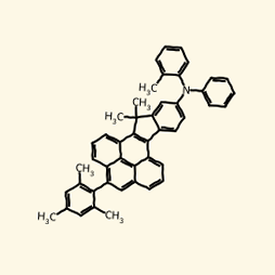 Cc1cc(C)c(-c2cc3cccc4c5c(c6cccc2c6c34)C(C)(C)c2cc(N(c3ccccc3)c3ccccc3C)ccc2-5)c(C)c1